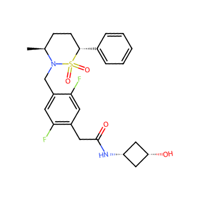 C[C@H]1CC[C@H](c2ccccc2)S(=O)(=O)N1Cc1cc(F)c(CC(=O)N[C@H]2C[C@@H](O)C2)cc1F